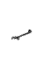 CC(C)CNC(=O)/C=C/C=C/CCCCCCCCc1ccccc1